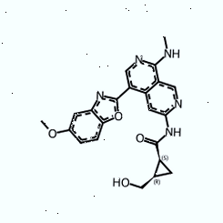 CNc1ncc(-c2nc3cc(OC)ccc3o2)c2cc(NC(=O)[C@H]3C[C@H]3CO)ncc12